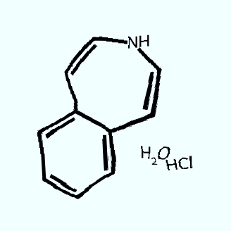 C1=Cc2ccccc2C=CN1.Cl.O